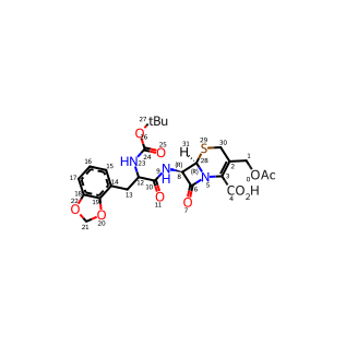 CC(=O)OCC1=C(C(=O)O)N2C(=O)[C@@H](NC(=O)C(Cc3cccc4c3OCO4)NC(=O)OC(C)(C)C)[C@H]2SC1